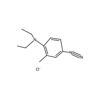 CCN(CC)c1ccc([N+]#N)cc1C.[Cl-]